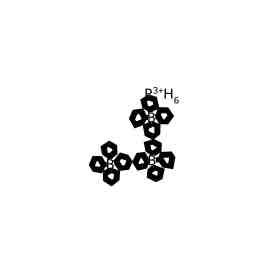 [PH6+3].c1ccc([B-](c2ccccc2)(c2ccccc2)c2ccccc2)cc1.c1ccc([B-](c2ccccc2)(c2ccccc2)c2ccccc2)cc1.c1ccc([B-](c2ccccc2)(c2ccccc2)c2ccccc2)cc1